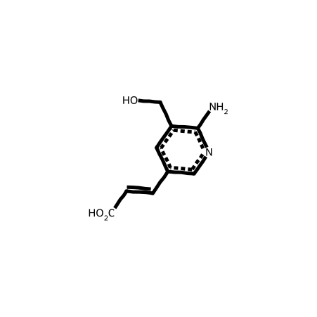 Nc1ncc(/C=C/C(=O)O)cc1CO